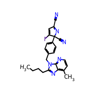 CCCCc1nc2c(C)ccnc2n1Cc1ccc(C2(C#N)N=C(C#N)C=C2I)cc1